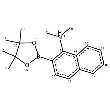 C[SiH](C)c1c(B2OC(C)(C)C(C)(C)O2)ccc2ccccc12